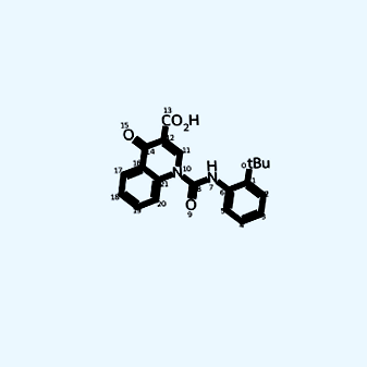 CC(C)(C)c1ccccc1NC(=O)n1cc(C(=O)O)c(=O)c2ccccc21